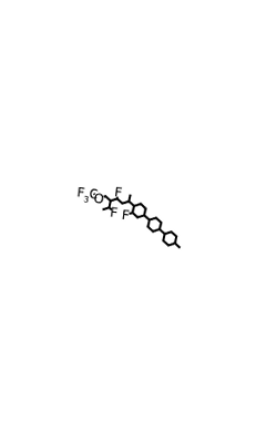 CC1CCC(C2CCC(C3CCC(C(C)CC(F)C(COC(F)(F)F)C(C)F)C(F)C3)CC2)CC1